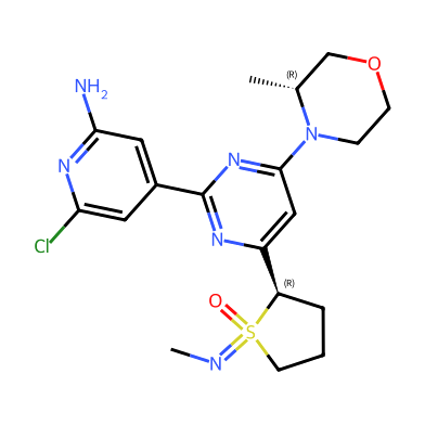 CN=S1(=O)CCC[C@@H]1c1cc(N2CCOC[C@H]2C)nc(-c2cc(N)nc(Cl)c2)n1